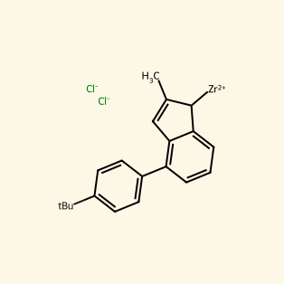 CC1=Cc2c(-c3ccc(C(C)(C)C)cc3)cccc2[CH]1[Zr+2].[Cl-].[Cl-]